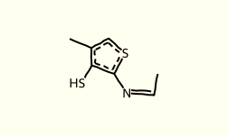 C/C=N\c1scc(C)c1S